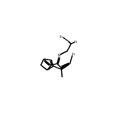 C=C(C)C1=CC2=C(C(/C=C\CC)=N/CC(CC)CC)C1C2